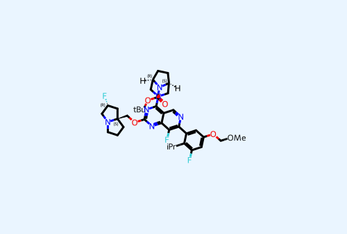 COCOc1cc(F)c(C(C)C)c(-c2ncc3c(N4C[C@H]5CC[C@@H](C4)N5C(=O)OC(C)(C)C)nc(OC[C@@]45CCCN4C[C@H](F)C5)nc3c2F)c1